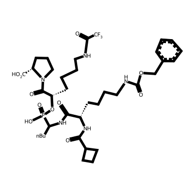 CCCCC(NC(=O)[C@H](CCCCNC(=O)OCc1ccccc1)NC(=O)C1CCC1)P(=O)(O)O[C@@H](CCCCNC(=O)C(F)(F)F)C(=O)N1CCC[C@H]1C(=O)O